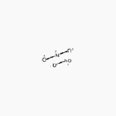 O=[NH+][O-].[Cl][Ni][Cl]